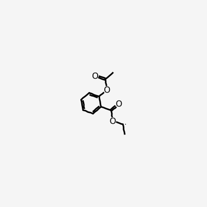 C[CH]OC(=O)c1ccccc1OC(C)=O